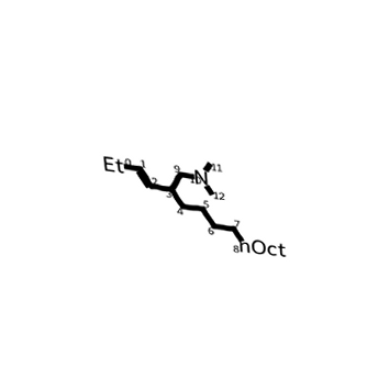 CCC=CC(CCCCCCCCCCCC)CN(C)C